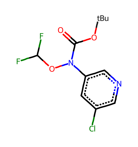 CC(C)(C)OC(=O)N(OC(F)F)c1cncc(Cl)c1